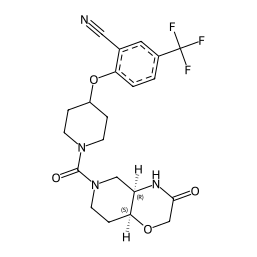 N#Cc1cc(C(F)(F)F)ccc1OC1CCN(C(=O)N2CC[C@@H]3OCC(=O)N[C@@H]3C2)CC1